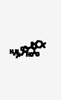 CN(N)Cc1cc(-c2sc3c(c2C(=O)O)CC(C)(C)CC3)co1